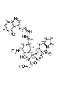 O=c1[nH]ccc2nccn12.O=c1n(O[C@@H]2O[C@H](CO)[C@@H](O)[C@]2(O)c2cc(PPPP)cc([N+](=O)[O-])c2)ccc2nccn12